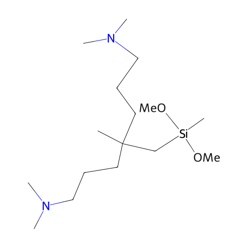 CO[Si](C)(CC(C)(CCCN(C)C)CCCN(C)C)OC